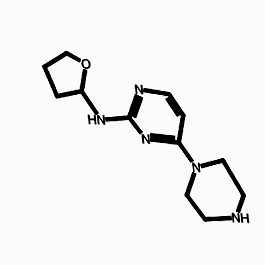 c1cc(N2CCNCC2)nc(NC2CCCO2)n1